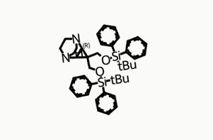 CC(C)(C)[Si](OCC1(CO[Si](c2ccccc2)(c2ccccc2)C(C)(C)C)C2[C@@H]1N1CCN2CC1)(c1ccccc1)c1ccccc1